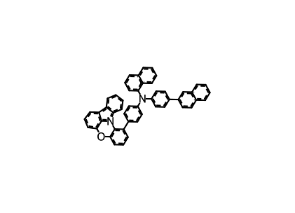 c1cc2c(c(-c3ccc(N(c4ccc(-c5ccc6ccccc6c5)cc4)c4cccc5ccccc45)cc3)c1)-n1c3ccccc3c3cccc(c31)O2